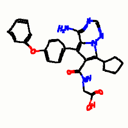 Nc1ncnn2c(C3CCCC3)c(C(=O)NCC(=O)O)c(-c3ccc(Oc4ccccc4)cc3)c12